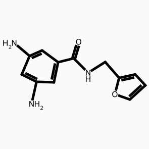 Nc1cc(N)cc(C(=O)NCc2ccco2)c1